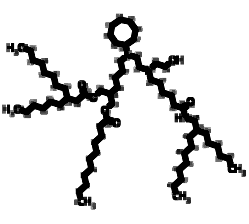 CCCCCCCCCCC(=O)OCC(CCCCN(CCN(CCO)CCCCCC(=O)NCC(CCCCCC)CCCCCCCC)C1CCCCCCC1)COC(=O)CC(CCCCCC)CCCCCCCC